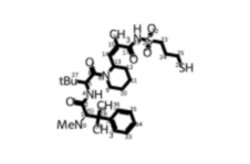 CN[C@H](C(=O)NC(C(=O)N1CCCCC1C=C(C)C(=O)NS(=O)(=O)CCCS)C(C)(C)C)C(C)(C)c1ccccc1